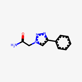 NC(=O)Cn1cc(-c2ccccc2)nn1